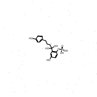 O=P(O)(O)Oc1ccc(O)cc1C(O)(O)CCCc1ccc(O)cc1